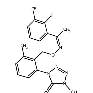 C/C(=N/OCc1c(C)cccc1-n1nnn(C)c1=O)c1cccc(C(F)(F)F)c1F